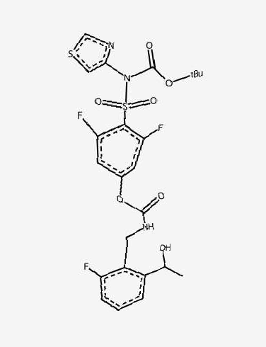 CC(O)c1cccc(F)c1CNC(=O)Oc1cc(F)c(S(=O)(=O)N(C(=O)OC(C)(C)C)c2cscn2)c(F)c1